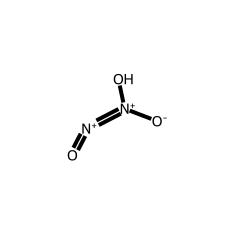 O=[N+]=[N+]([O-])O